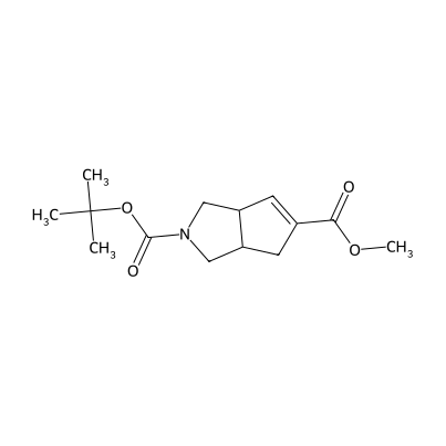 COC(=O)C1=CC2CN(C(=O)OC(C)(C)C)CC2C1